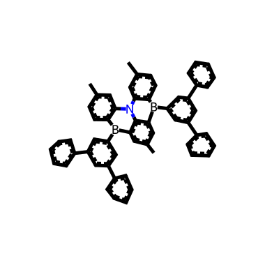 Cc1cc2c3c(c1)B(c1cc(-c4ccccc4)cc(-c4ccccc4)c1)c1ccc(C)cc1N3c1cc(C)ccc1B2c1cc(-c2ccccc2)cc(-c2ccccc2)c1